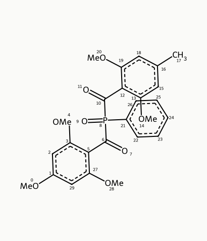 COc1cc(OC)c(C(=O)P(=O)(C(=O)c2c(OC)cc(C)cc2OC)c2ccccc2)c(OC)c1